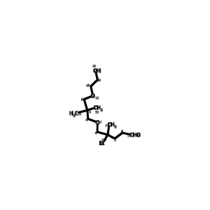 CCC(C)(CCC=O)COCC(C)(C)COCCO